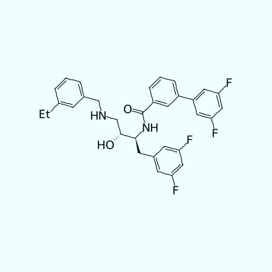 CCc1cccc(CNC[C@@H](O)[C@H](Cc2cc(F)cc(F)c2)NC(=O)c2cccc(-c3cc(F)cc(F)c3)c2)c1